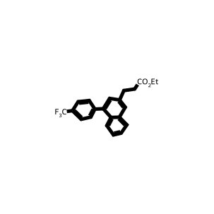 CCOC(=O)CCc1cc(-c2ccc(C(F)(F)F)cc2)c2ccccc2c1